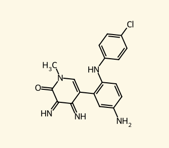 CN1C=C(c2cc(N)ccc2Nc2ccc(Cl)cc2)C(=N)C(=N)C1=O